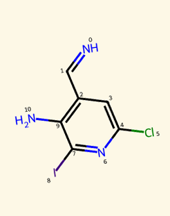 N=Cc1cc(Cl)nc(I)c1N